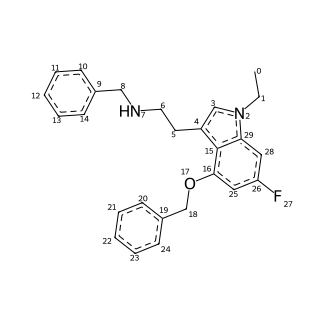 CCn1cc(CCNCc2ccccc2)c2c(OCc3ccccc3)cc(F)cc21